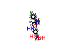 C/C(=C/C(=O)Nc1ccc(CP(=O)(O)O)cc1)c1cnn(C)c1-c1ccc(F)cc1